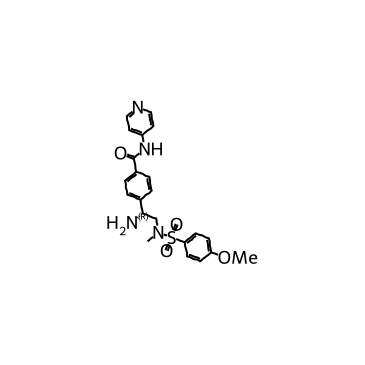 COc1ccc(S(=O)(=O)N(C)C[C@H](N)c2ccc(C(=O)Nc3ccncc3)cc2)cc1